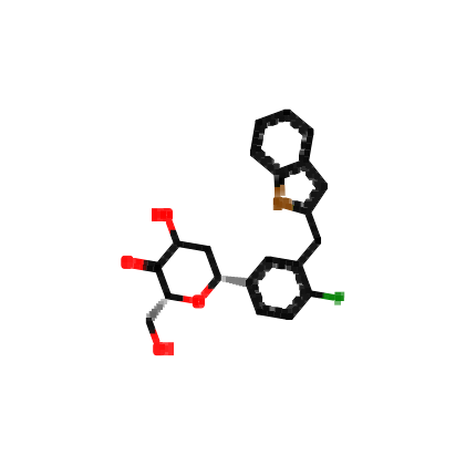 O=C1C(O)C[C@H](c2ccc(F)c(Cc3cc4ccccc4s3)c2)O[C@@H]1CO